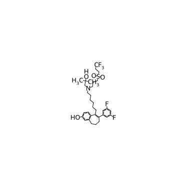 CC(C)(O)CN(CCCCCCC1=C(c2cc(F)cc(F)c2)CCCc2cc(O)ccc21)CCCS(=O)(=O)CCC(F)(F)F